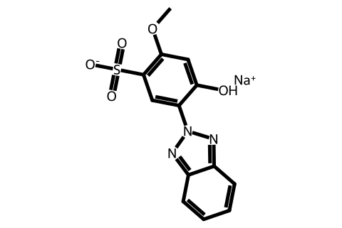 COc1cc(O)c(-n2nc3ccccc3n2)cc1S(=O)(=O)[O-].[Na+]